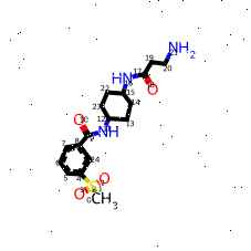 CS(=O)(=O)c1cccc(C(=O)NC2CCC(NC(=O)CCN)CC2)c1